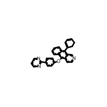 C1=CCCC(c2c3ccccc3c(Oc3ccc(-c4ncccn4)cc3)c3ccncc23)=C1